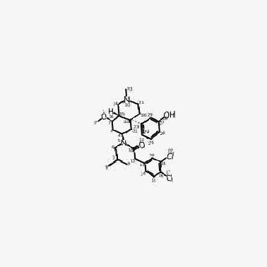 COC1C[C@H](N(CC(C)C)C(=O)Cc2ccc(Cl)c(Cl)c2)C[C@]2(c3cccc(O)c3)CCN(C)C[C@@H]12